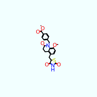 COC(=O)c1ccc(CN2C(=O)CCc3c(CC4SC(=O)NC4=O)ccc(OC)c32)cc1